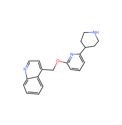 c1cc(OCc2ccnc3ccccc23)nc(C2CCNCC2)c1